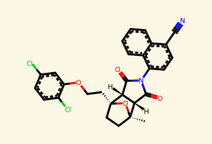 C[C@]12CC[C@](CCOc3cc(Cl)ccc3Cl)(O1)[C@@H]1C(=O)N(c3ccc(C#N)c4ccccc34)C(=O)[C@@H]12